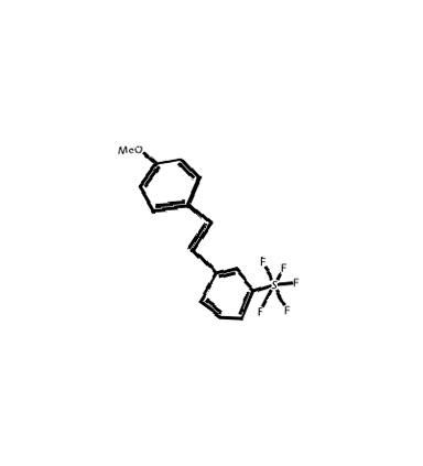 COc1ccc(/C=C/c2cccc(S(F)(F)(F)(F)F)c2)cc1